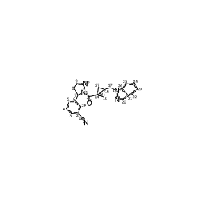 N#Cc1cccc(C2CC=NN2C(=O)C23CC(Cn4ncc5ccccc54)(C2)C3)c1